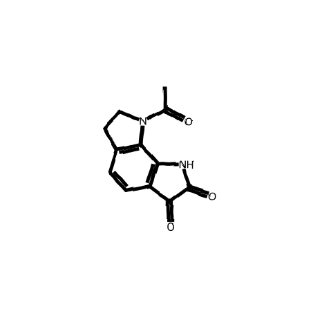 CC(=O)N1CCc2ccc3c(c21)NC(=O)C3=O